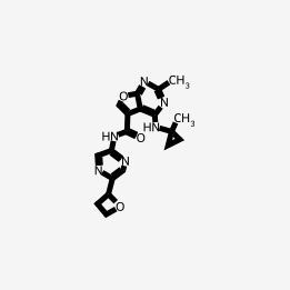 Cc1nc(NC2(C)CC2)c2c(C(=O)Nc3cnc(C4CCO4)cn3)coc2n1